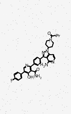 CC(C)C(=O)N1CCC(n2nc(-c3ccc(-c4ncc(-c5ccc(F)cc5)c(O)c4C(N)=O)cc3)c3c(N)nccc32)CC1